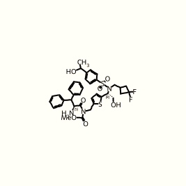 COC(=O)N(Cc1ccc([C@@H](CO)N(CC2CC(F)(F)C2)S(=O)(=O)c2ccc(C(C)O)cc2)s1)C(=O)[C@@H](N)C(c1ccccc1)c1ccccc1